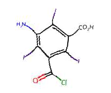 Nc1c(I)c(C(=O)O)c(I)c(C(=O)Cl)c1I